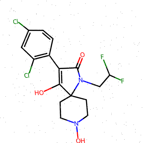 O=C1C(c2ccc(Cl)cc2Cl)=C(O)C2(CCN(O)CC2)N1CC(F)F